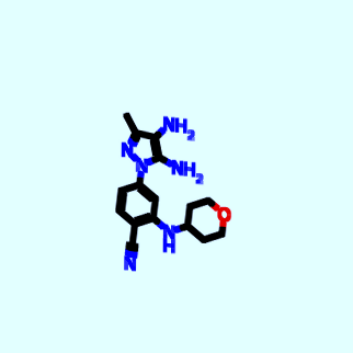 Cc1nn(-c2ccc(C#N)c(NC3CCOCC3)c2)c(N)c1N